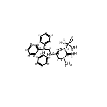 CN(CC(=O)NC[PH](c1ccccc1)(c1ccccc1)c1ccccc1)C(=N)NP(=O)(O)O